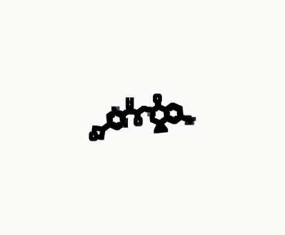 O=C(CN1CC2(CC2)c2cc(Br)ccc2C1=O)Nc1ncc(C2COC2)cn1